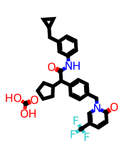 O=C(Nc1cccc(CC2CC2)c1)C(c1ccc(Cn2cc(C(F)(F)F)ccc2=O)cc1)C1CCCC1.O=C(O)O